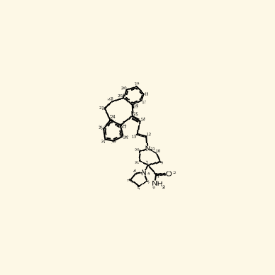 NC(=O)C1(N2CCCC2)CCN(CCC=C2c3ccccc3CCc3ccccc32)CC1